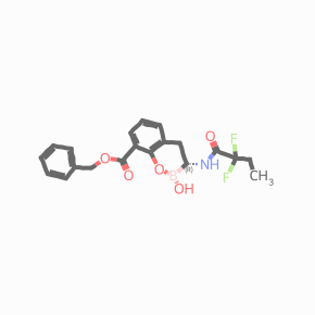 CCC(F)(F)C(=O)N[C@H]1Cc2cccc(C(=O)OCc3ccccc3)c2OB1O